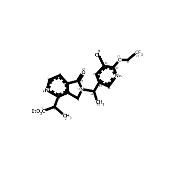 CCOC(=O)C(C)c1nccc2c1CN(C(C)c1cnc(OCC(F)(F)F)c(Cl)c1)C2=O